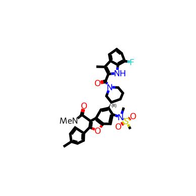 CNC(=O)c1c(-c2ccc(C)cc2)oc2cc(N(C)S(C)(=O)=O)c([C@H]3CCCN(C(=O)c4[nH]c5c(F)cccc5c4C)C3)cc12